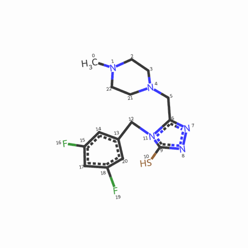 CN1CCN(Cc2nnc(S)n2Cc2cc(F)cc(F)c2)CC1